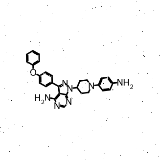 Nc1[c]cc(N2CCC(n3nc(-c4ccc(Oc5ccccc5)cc4)c4c(N)ncnc43)CC2)cc1